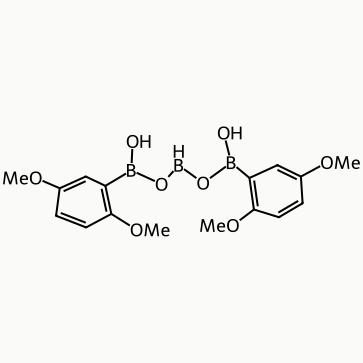 COc1ccc(OC)c(B(O)OBOB(O)c2cc(OC)ccc2OC)c1